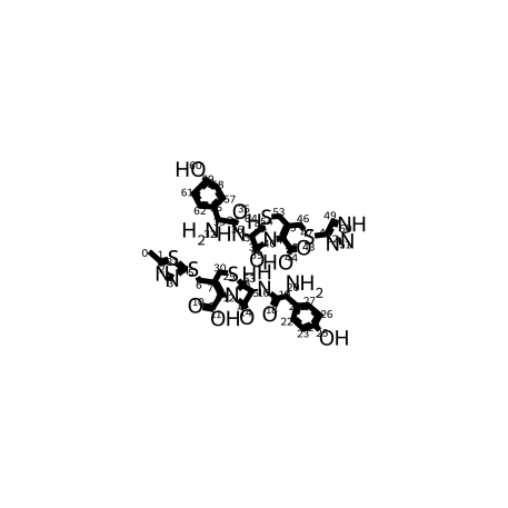 Cc1nnc(SCC2=C(C(=O)O)N3C(=O)[C@@H](NC(=O)[C@H](N)c4ccc(O)cc4)[C@H]3SC2)s1.N[C@@H](C(=O)N[C@@H]1C(=O)N2C(C(=O)O)=C(CSc3c[nH]nn3)CS[C@H]12)c1ccc(O)cc1